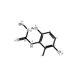 CC(=O)Oc1ccc(C(F)(F)F)c(C)c1NC(=O)OC(C)(C)C